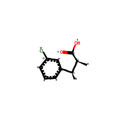 C[C@H](C(=O)O)[C@@H](C)c1cccc(Cl)c1